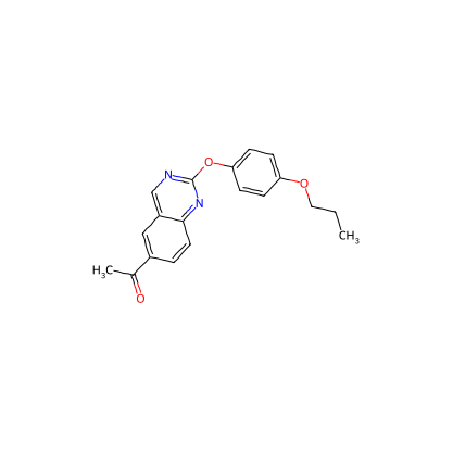 CCCOc1ccc(Oc2ncc3cc(C(C)=O)ccc3n2)cc1